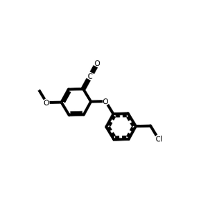 COC1=CC(=C=O)C(Oc2cccc(CCl)c2)C=C1